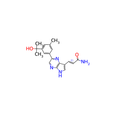 Cc1cc(-c2cnc3[nH]cc(/C=C/C(N)=O)c3n2)cc(C(C)(C)O)c1